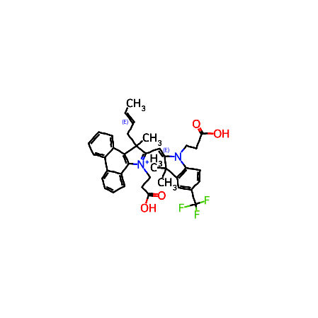 C/C=C/CC1(C)C(/C=C2/N(CCC(=O)O)c3ccc(C(F)(F)F)cc3C2(C)C)=[N+](CCC(=O)O)c2c1c1ccccc1c1ccccc21